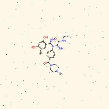 CCN1CCN(C(=O)c2ccc(N(C(=N)C(=O)NCC(F)(F)F)C(=N)c3cc(C(C)C)c(O)cc3O)cc2)CC1